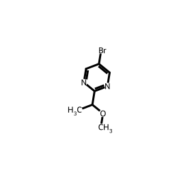 COC(C)c1ncc(Br)cn1